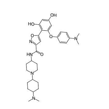 CN(C)c1ccc(Oc2cc(O)cc(O)c2-c2cc(C(=O)NC3CCN(C4CCC(N(C)C)CC4)CC3)no2)cc1